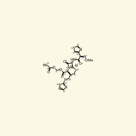 CO/N=C(\C(=O)NC1C(=O)N2C(C(=O)OCOC(=O)C(C)(C)C)=C(CSc3ncns3)CS[C@H]12)c1cscn1